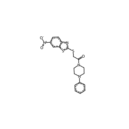 O=C(CSc1nc2ccc([N+](=O)[O-])cc2s1)N1CCN(c2ccccc2)CC1